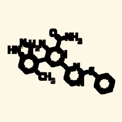 Cc1ccc2[nH]ncc2c1-c1cc(-c2ccnc(Sc3ccccc3)n2)nc(C(N)=O)c1N